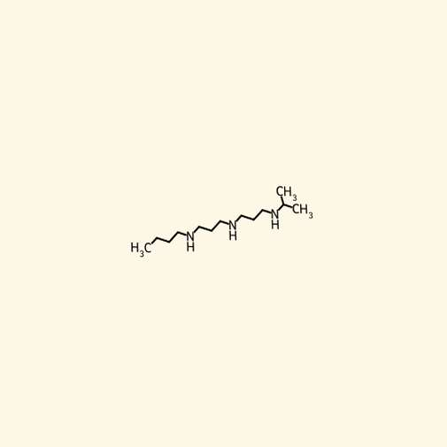 CCCCNCCCNCCCNC(C)C